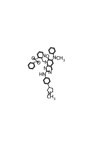 CN1CCC(c2ccc(Nc3ncc4cc(N(C)c5ccccc5)c(=O)n(Cc5ncccc5S(=O)(=O)c5ccccc5)c4n3)cc2)C1